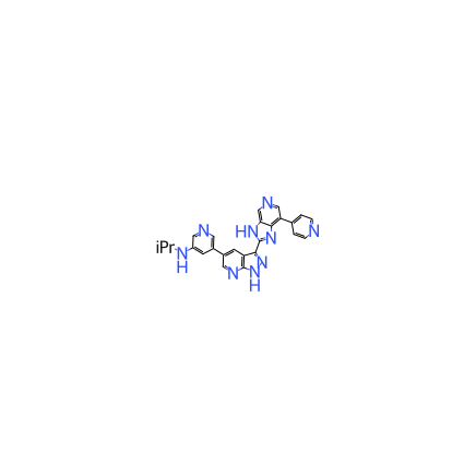 CC(C)Nc1cncc(-c2cnc3[nH]nc(-c4nc5c(-c6ccncc6)cncc5[nH]4)c3c2)c1